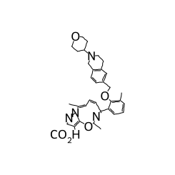 C\C1=C/C=C\C(c2cccc(C)c2OCc2ccc3c(c2)CCN(C2CCOCC2)C3)=N\C(C)Oc2c(C(=O)O)cnn21